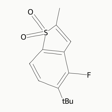 CC1=Cc2c(ccc(C(C)(C)C)c2F)S1(=O)=O